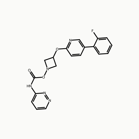 O=C(Nc1cccnn1)ON1CC(Oc2ccc(-c3ccccc3F)cn2)C1